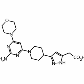 Nc1nc(N2CCOCC2)cc(N2CCC(c3cc(CC(=O)O)[nH]n3)CC2)n1